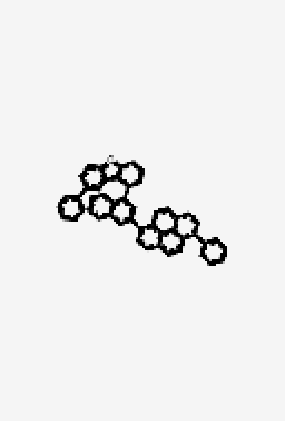 c1ccc(-c2ccc3oc4cccc(-c5cc(-c6ccc7ccc8c(-c9ccccc9)ccc9ccc6c7c98)cc6ccccc56)c4c3c2)cc1